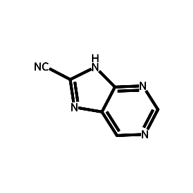 N#Cc1nc2cncnc2[nH]1